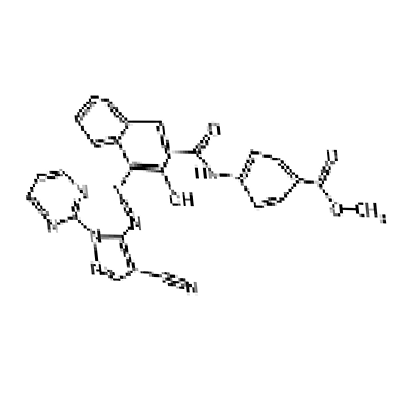 COC(=O)c1ccc(NC(=O)c2cc3ccccc3c(/N=N/c3c(C#N)cnn3-c3ncccn3)c2O)cc1